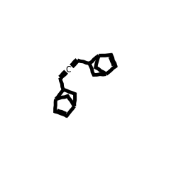 C(=CC1CC2C=CC1C2)=CC1CC2C=CC1C2